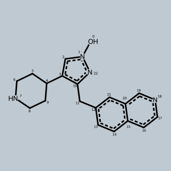 On1cc(C2CCNCC2)c(Cc2ccc3ccncc3c2)n1